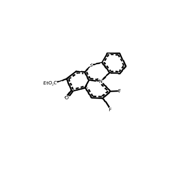 CCOC(=O)c1cc2c3n(c(F)c(F)cc-3c1=O)-c1ccccc1S2